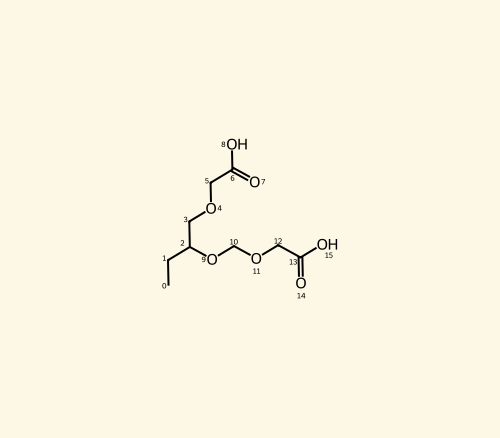 CCC(COCC(=O)O)OCOCC(=O)O